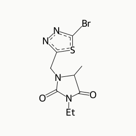 CCN1C(=O)C(C)N(Cc2nnc(Br)s2)C1=O